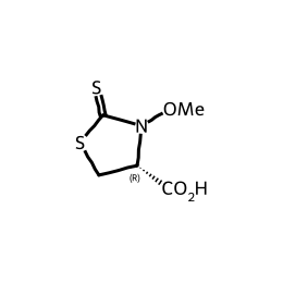 CON1C(=S)SC[C@H]1C(=O)O